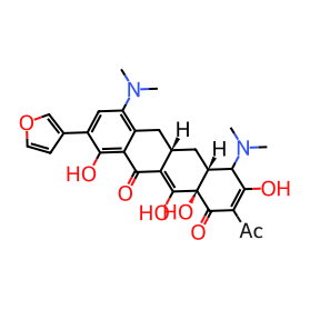 CC(=O)C1=C(O)C(N(C)C)[C@H]2C[C@H]3Cc4c(N(C)C)cc(-c5ccoc5)c(O)c4C(=O)C3=C(O)[C@@]2(O)C1=O